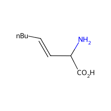 CCCCC=CC(N)C(=O)O